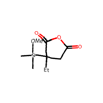 CCC1([Si](C)(C)OC)CC(=O)OC1=O